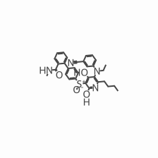 CCCCc1nc(O)c([S+]([O-])c2ccc(-c3ccccc3C(=O)NC)cc2)c(O)c1N(CC)c1cccc(C#N)c1